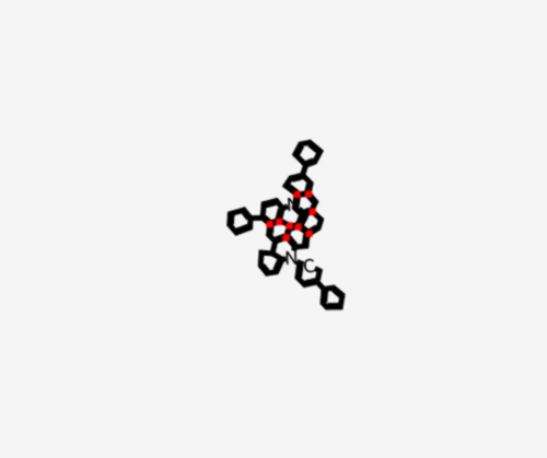 C1=CCC(C2=CC(C3=C(N(c4ccc(-c5ccccc5)cc4)c4ccc(-c5ccccc5)cc4)CCC=C3)CC=C2)C(N(C2=CC=C(c3ccccc3)CC2)c2ccc(-c3ccccc3)cc2)=C1